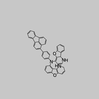 C1=Cc2oc3cccc(N(C4=C5Oc6ccccc6C5NC=C4)c4ccc(-c5ccc6c7c(cccc57)-c5ccccc5-6)cc4)c3c2NC1